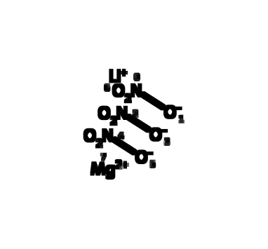 O=[N+]([O-])[O-].O=[N+]([O-])[O-].O=[N+]([O-])[O-].[Li+].[Mg+2]